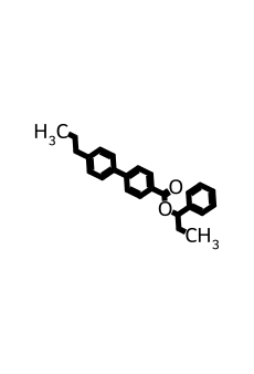 CCCc1ccc(-c2ccc(C(=O)OC(CC)c3ccccc3)cc2)cc1